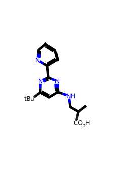 CC(CNc1cc(C(C)(C)C)nc(-c2ccccn2)n1)C(=O)O